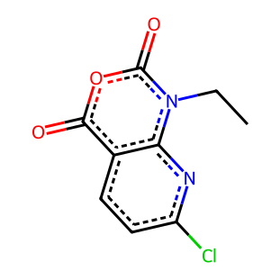 CCn1c(=O)oc(=O)c2ccc(Cl)nc21